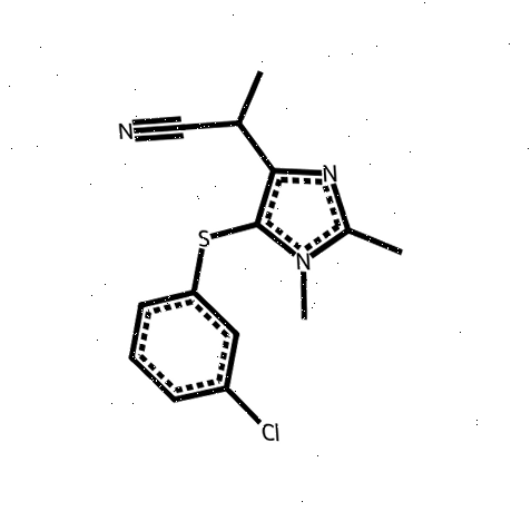 Cc1nc(C(C)C#N)c(Sc2cccc(Cl)c2)n1C